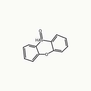 O=[AsH]1c2ccccc2Oc2ccccc21